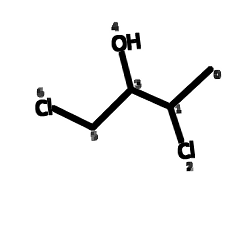 CC(Cl)C(O)CCl